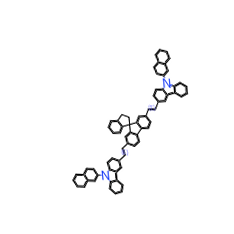 C(=C\c1ccc2c(c1)c1ccccc1n2-c1ccc2ccccc2c1)/c1ccc2c(c1)C1(CCc3ccccc31)c1cc(/C=C/c3ccc4c(c3)c3ccccc3n4-c3ccc4ccccc4c3)ccc1-2